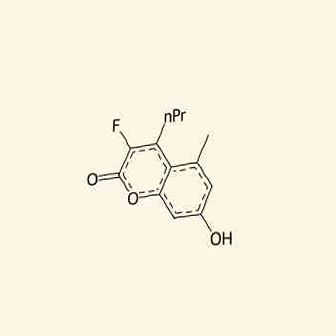 CCCc1c(F)c(=O)oc2cc(O)cc(C)c12